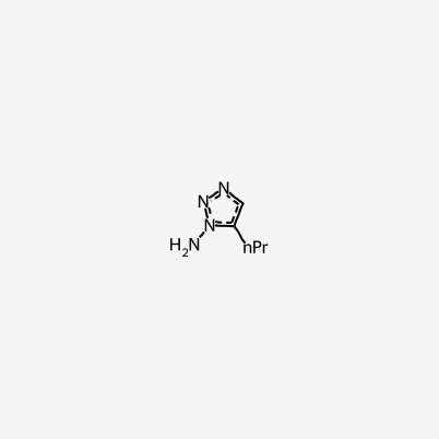 CCCc1cnnn1N